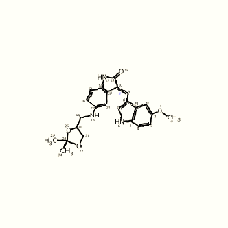 COc1ccc2[nH]cc(/C=C3/C(=O)Nc4ccc(NCC5COC(C)(C)O5)cc43)c2c1